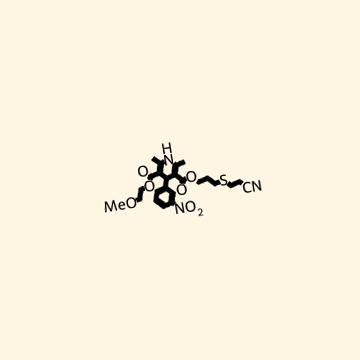 COCCOC(=O)C1=C(C)NC(C)=C(C(=O)OCCCSCCC#N)C1c1cccc([N+](=O)[O-])c1